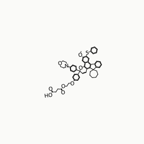 COc1cc2c3c(c4c(c2cc1Sc1ccccc1)-c1ccccc1C41CCCCCC1)C=CC(c1ccc(OCCOC(=O)CCC(=O)O)cc1)(c1ccc(N2CCOCC2)cc1)O3